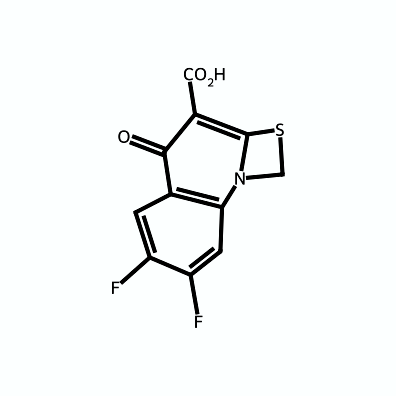 O=C(O)c1c2n(c3cc(F)c(F)cc3c1=O)CS2